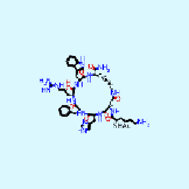 CC(=O)N[C@@H](CCCCN)C(=O)N[C@H]1CC(=O)NCCCC[C@@H](C(N)=O)NC(=O)[C@H](Cc2c[nH]c3ccccc23)NC(O)[C@H](CCCNC(=N)N)NC(=O)[C@@H](Cc2ccccc2)NC(=O)[C@H](Cc2c[nH]cn2)NC1=O